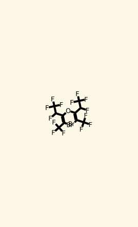 FC(C(OC(=C(Br)C(F)(F)F)C(F)C(F)(F)F)=C(Br)C(F)(F)F)C(F)(F)F